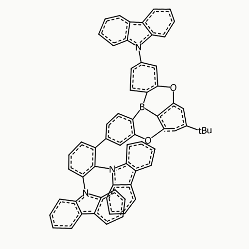 CC(C)(C)c1cc2c3c(c1)Oc1cc(-n4c5ccccc5c5ccccc54)ccc1B3c1ccc(-c3cccc(-n4c5ccccc5c5ccccc54)c3-n3c4ccccc4c4ccccc43)cc1O2